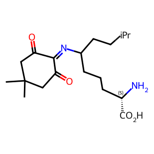 CC(C)CCC(CCC[C@H](N)C(=O)O)N=C1C(=O)CC(C)(C)CC1=O